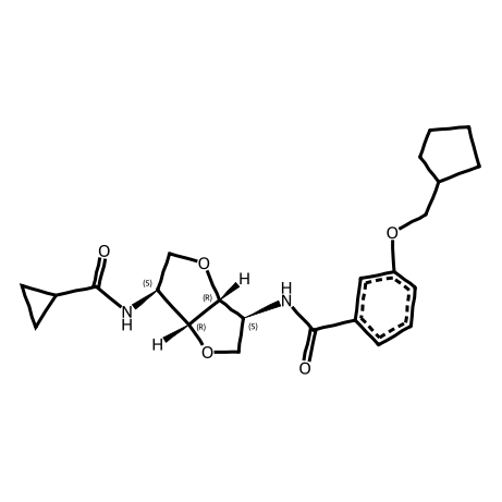 O=C(N[C@H]1CO[C@H]2[C@@H]1OC[C@@H]2NC(=O)C1CC1)c1cccc(OCC2CCCC2)c1